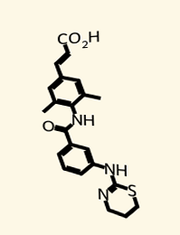 Cc1cc(C=CC(=O)O)cc(C)c1NC(=O)c1cccc(NC2=NCCCS2)c1